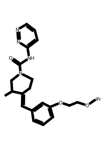 CC(C)OCCOc1cccc(C=C2CCN(C(=O)Nc3cccnn3)CC2C)c1